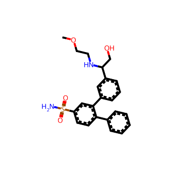 COCCNC(CO)c1cccc(-c2cc(S(N)(=O)=O)ccc2-c2ccccc2)c1